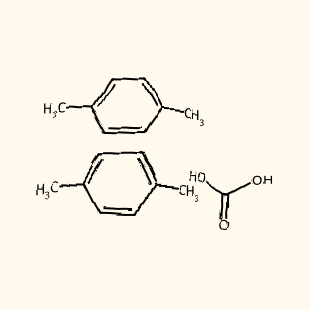 Cc1ccc(C)cc1.Cc1ccc(C)cc1.O=C(O)O